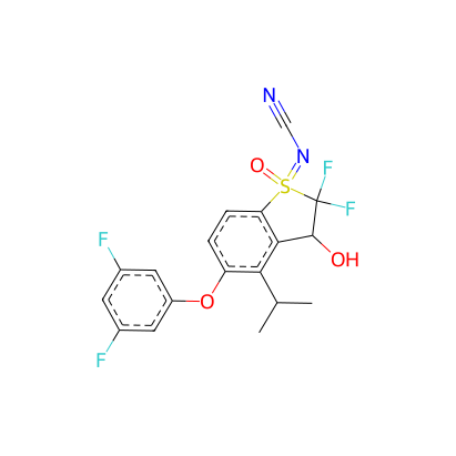 CC(C)c1c(Oc2cc(F)cc(F)c2)ccc2c1C(O)C(F)(F)S2(=O)=NC#N